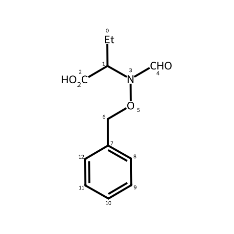 CCC(C(=O)O)N(C=O)OCc1ccccc1